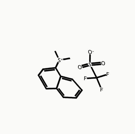 C[S+](C)c1cccc2ccccc12.O=S(=O)([O-])C(F)(F)F